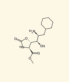 COC(=O)[C@H]1NC(=O)O[C@@H]1[C@H](O)[C@@H](N)CC1CCCCC1